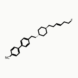 N#Cc1ccc(-c2ccc(CC[C@H]3CC[C@H](CCC=CCCF)CC3)cc2)cc1